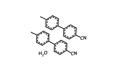 Cc1ccc(-c2ccc(C#N)cc2)cc1.Cc1ccc(-c2ccc(C#N)cc2)cc1.O